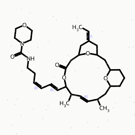 C/C=C1\CC2CC(=O)OC(/C=C/C=C\CCNC(=O)N3CCOCC3)C(C)/C=C/C(C)CC3CCCC(CC(C1)O2)O3